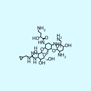 N=C(NCC1CC1)N[C@@H]1C(O)[C@@H](CO)OC(OC2C(F)[C@H](O[C@H]3OC(CN)[C@@H](O)CC3N)C(N)C[C@H]2NC(=O)[C@@H](O)CCN)[C@@H]1O